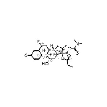 CCC(=O)O[C@]1(C(=O)OC(=S)N(C)C)[C@H](C)C[C@H]2[C@@H]3C[C@H](F)C4=CC(=O)C=C[C@]4(C)[C@@]3(F)[C@@H](O)C[C@@]21C